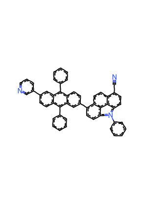 N#Cc1ccc2c3c1ccc1c(-c4ccc5c(-c6ccccc6)c6cc(-c7cccnc7)ccc6c(-c6ccccc6)c5c4)ccc(c13)n2-c1ccccc1